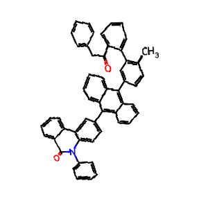 Cc1ccc(-c2c3ccccc3c(-c3ccc4c(c3)c3ccccc3c(=O)n4-c3ccccc3)c3ccccc23)cc1-c1ccccc1C(=O)Cc1ccccc1